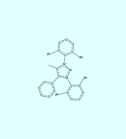 Cc1c(-c2ccccc2)n(-c2c(C(C)C)cccc2C(C)C)n[n+]1-c1c(C(C)C)cccc1C(C)C